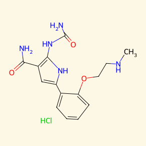 CNCCOc1ccccc1-c1cc(C(N)=O)c(NC(N)=O)[nH]1.Cl